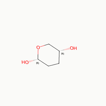 O[C@@H]1CC[C@H](O)OC1